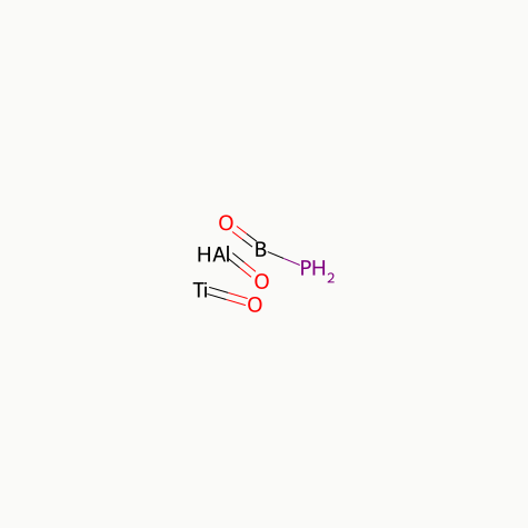 O=BP.[O]=[AlH].[O]=[Ti]